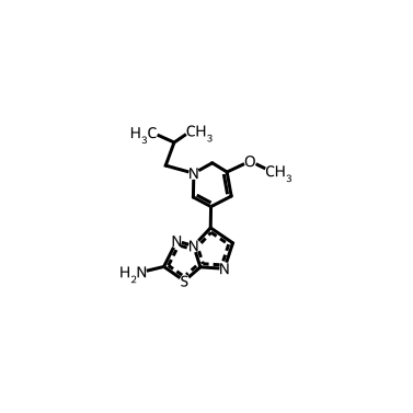 COC1=CC(c2cnc3sc(N)nn23)=CN(CC(C)C)C1